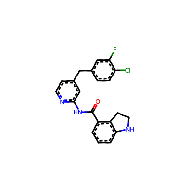 O=C(Nc1cc(Cc2ccc(Cl)c(F)c2)ccn1)c1cccc2c1CCN2